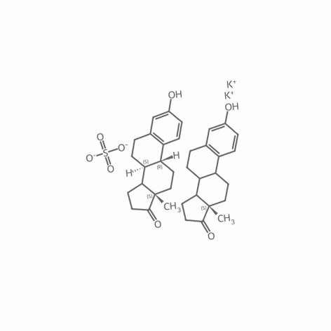 C[C@]12CCC3c4ccc(O)cc4CCC3C1CCC2=O.C[C@]12CC[C@H]3c4ccc(O)cc4CC[C@@H]3C1CCC2=O.O=S(=O)([O-])[O-].[K+].[K+]